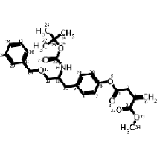 C=C(CC(=O)Oc1ccc(CC(COCc2ccccc2)NC(=O)OC(C)(C)C)cc1)C(=O)OC